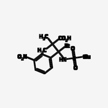 CCC(NS(=O)(=O)C(C)(C)C)(c1cccc([N+](=O)[O-])c1)C(C)(C)C(=O)O